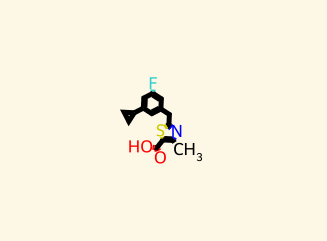 Cc1nc(Cc2cc(F)cc(C3CC3)c2)sc1C(=O)O